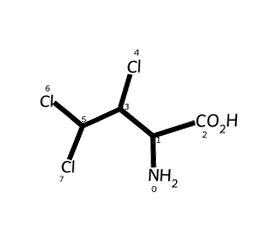 NC(C(=O)O)C(Cl)C(Cl)Cl